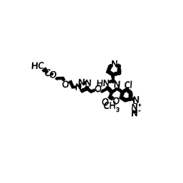 C#CCOCCOCCn1cc(COCC2=C(C(=O)OC)C(c3ccc(N=[N+]=[N-])cc3Cl)N=C(c3ccncc3)N2)nn1